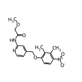 COCC(=O)Nc1cc(COc2ccc([N+](=O)[O-])c(C)c2C)ccn1